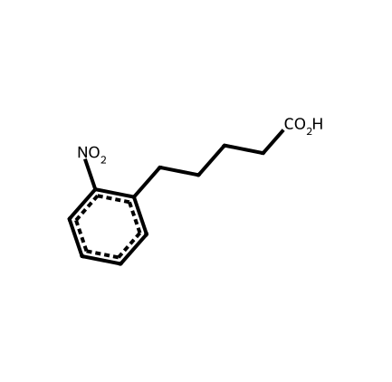 O=C(O)CCCCc1ccccc1[N+](=O)[O-]